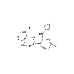 COc1cccc(Cl)c1NC(=O)c1cnc(Cl)nc1NC1CCC1